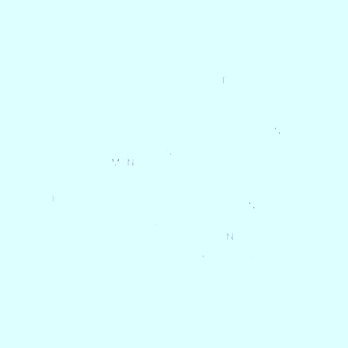 CNC(=O)c1c(-c2ccc(F)cc2)oc2cc(N(C)S(C)(=O)=O)c(-c3cc4c(cn3)CCn3c-4cc4c(F)cccc43)cc12